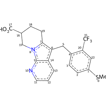 CSc1ccc(Cc2c3n(c4ncccc24)CC(C(=O)O)CC3)c(C(F)(F)F)c1